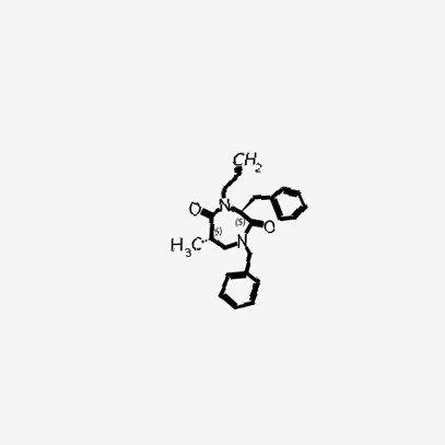 C=CCN1C(=O)[C@@H](C)CN(Cc2ccccc2)C(=O)[C@@H]1Cc1ccccc1